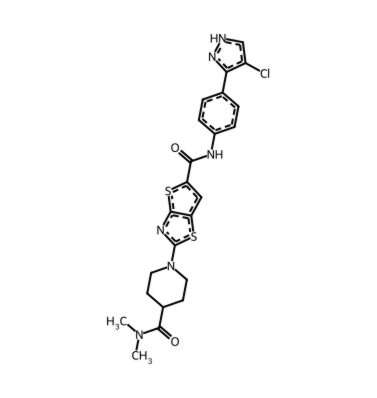 CN(C)C(=O)C1CCN(c2nc3sc(C(=O)Nc4ccc(-c5n[nH]cc5Cl)cc4)cc3s2)CC1